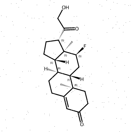 C[C@@]12[C@@H](C(=O)CO)CC[C@H]1[C@@H]1CCC3=CC(=O)CC[C@]3(C)[C@H]1C[C@@H]2F